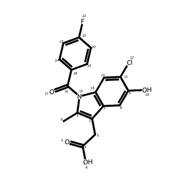 Cc1c(CC(=O)O)c2cc(O)c(Cl)cc2n1C(=O)c1ccc(F)cc1